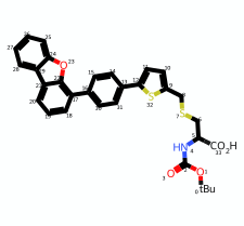 CC(C)(C)OC(=O)NC(CSCc1ccc(-c2ccc(-c3cccc4c3oc3ccccc34)cc2)s1)C(=O)O